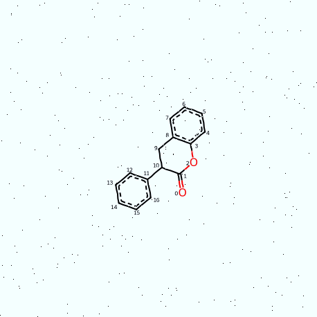 O=C1Oc2ccccc2CC1c1ccccc1